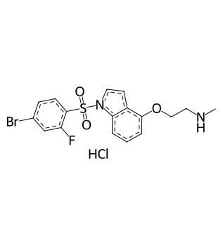 CNCCOc1cccc2c1ccn2S(=O)(=O)c1ccc(Br)cc1F.Cl